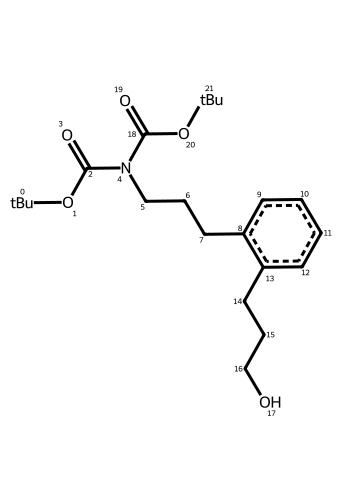 CC(C)(C)OC(=O)N(CCCc1ccccc1CCCO)C(=O)OC(C)(C)C